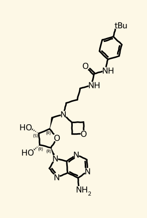 CC(C)(C)c1ccc(NC(=O)NCCCN(C[C@H]2O[C@@H](n3cnc4c(N)ncnc43)[C@H](O)[C@@H]2O)C2COC2)cc1